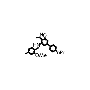 CCCc1ccc(-c2cc(NCc3ccc(C)cc3OC)c3c(C)noc3c2)cc1